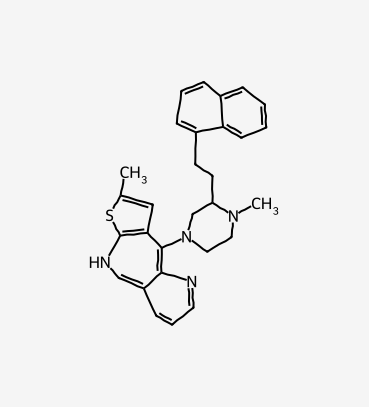 Cc1cc2c(s1)NC=c1cccnc1=C2N1CCN(C)C(CCc2cccc3ccccc23)C1